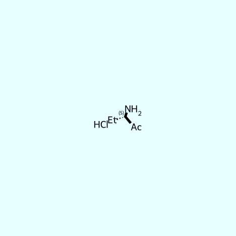 CC[C@H](N)C(C)=O.Cl